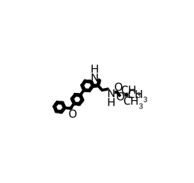 CC(C)(C)OC(=O)NCCc1c[nH]c2ccc(-c3ccc(C(=O)c4ccccc4)cc3)cc12